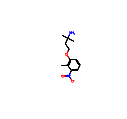 Cc1c(OCCC(C)(C)N)cccc1[N+](=O)[O-]